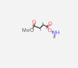 COC(=O)CCC(=O)ONI